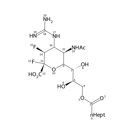 CCCCCCCC(=O)OC[C@@H](O)[C@@H](O)C1O[C@@](F)(C(=O)O)[C@@H](F)C(NC(=N)N)[C@H]1NC(C)=O